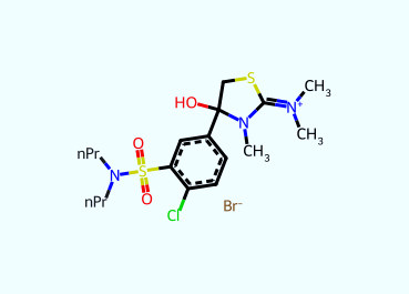 CCCN(CCC)S(=O)(=O)c1cc(C2(O)CSC(=[N+](C)C)N2C)ccc1Cl.[Br-]